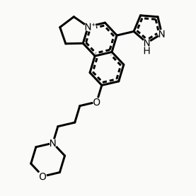 c1cc(-c2c[n+]3c(c4cc(OCCCN5CCOCC5)ccc24)CCC3)[nH]n1